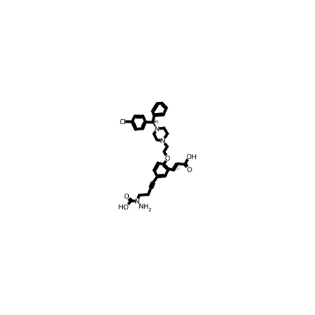 NN(CCC#Cc1ccc(OCCN2CCN([C@H](c3ccccc3)c3ccc(Cl)cc3)CC2)c(/C=C/C(=O)O)c1)C(=O)O